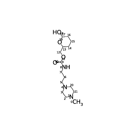 CN1CCN(CCCNC(=O)OCC2CCCC(O)O2)CC1